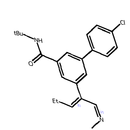 CC/C=C(/C=N\C)c1cc(C(=O)NC(C)(C)C)cc(-c2ccc(Cl)cc2)c1